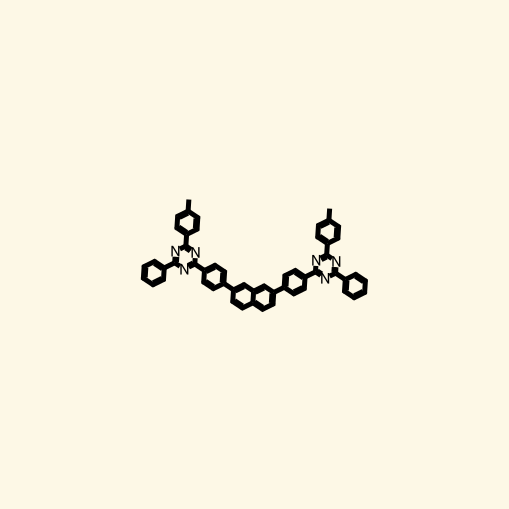 Cc1ccc(-c2nc(-c3ccccc3)nc(-c3ccc(-c4ccc5ccc(-c6ccc(-c7nc(-c8ccccc8)nc(-c8ccc(C)cc8)n7)cc6)cc5c4)cc3)n2)cc1